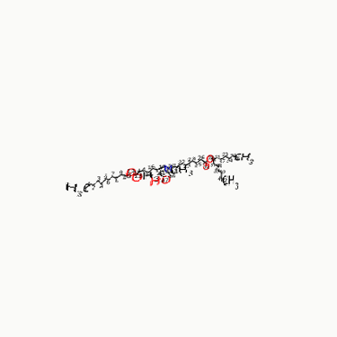 CCCCCCCCCCCOC(=O)CCCCCN(CCCCCCCC(=O)OC(CCCCCC)CCCCCC)C(C)(C)CO